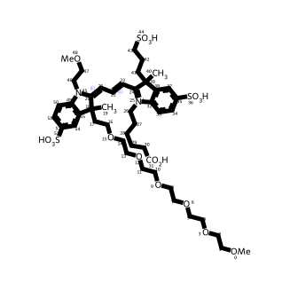 COCCOCCOCCOCCOCCOCCC1(C)/C(=C\C=C\C2=[N+](CCCCCC(=O)O)c3ccc(S(=O)(=O)O)cc3C2(C)CCCS(=O)(=O)O)N(CCOC)c2ccc(S(=O)(=O)O)cc21